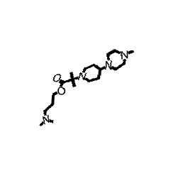 CN(C)CCCOC(=O)C(C)(C)N1CCC(N2CCN(C)CC2)CC1